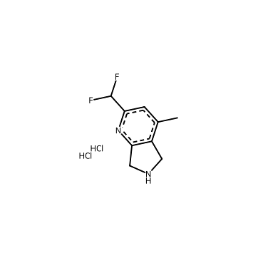 Cc1cc(C(F)F)nc2c1CNC2.Cl.Cl